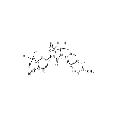 CN1CCc2cc(N(C(=S)N(C)c3cnc(C#N)c(C(F)(F)F)c3)C3(C=O)CCC3)ccc2C1